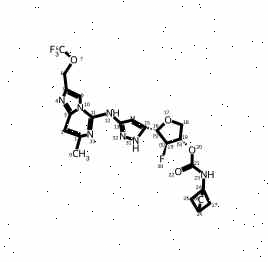 Cc1cc2nc(COC(F)(F)F)cn2c(Nc2cc([C@@H]3OC[C@H](OC(=O)NC45CC(C4)C5)[C@H]3F)[nH]n2)n1